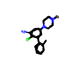 CCN1CCN(c2cc(N)c(Cl)c(-c3ccccc3C)c2)CC1